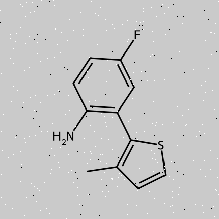 Cc1ccsc1-c1cc(F)ccc1N